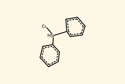 [Cr][SiH](c1ccccc1)c1ccccc1